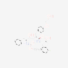 CC(C)(C)OC(=O)N[C@@H](Cc1ccccc1)[C@@H](O)C[C@@H](Cc1ccc(OCCO)cc1)C(=O)N[C@H]1c2cccc(F)c2C[C@H]1O